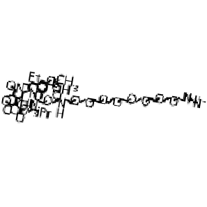 CCc1c2c(nc3ccc(OB(C)O)cc13)-c1cc3c(c(=O)n1C2)COC(=O)C3(C)OC(=O)OCC(NC(=O)COCC(=O)NCCOCCOCCOCCOCCOCCOCCOCCOCCN=[N+]=[N-])C(C)C